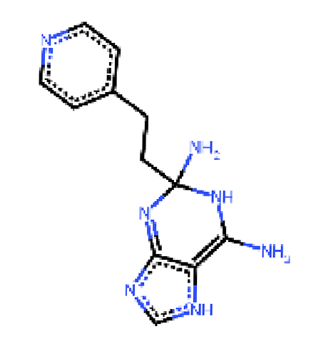 NC1=c2[nH]cnc2=NC(N)(CCc2ccncc2)N1